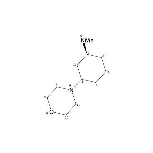 CN[C@H]1CCC[C@H](N2CCOCC2)C1